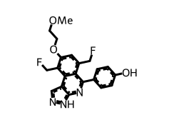 COCCOc1cc(CF)c2c(-c3ccc(O)cc3)nc3[nH]ncc3c2c1CF